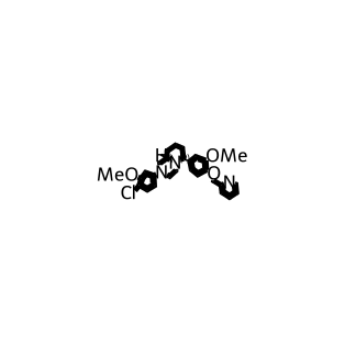 COc1cc(N2CCN3[C@@H](CCC[C@@H]3c3ccc(OCc4ccccn4)c(OC)c3)C2)ccc1Cl